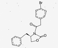 O=C(Cc1ccc(Br)cc1)N1C(=O)OC[C@H]1Cc1ccccc1